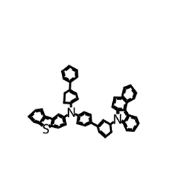 C1=CC(c2ccc(N(C3=CC=C(c4ccccc4)CC3)c3ccc4sc5ccccc5c4c3)cc2)=CC(n2c3ccccc3c3c4ccccc4ccc32)C1